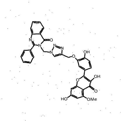 COc1cc(O)cc2oc(-c3ccc(O)c(OCc4cn(Cn5c(-c6ccccc6)nc6ccccc6c5=O)nn4)c3)c(O)c(=O)c12